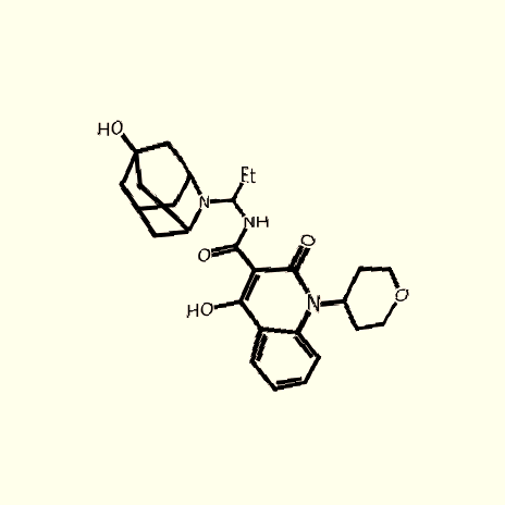 CCC(NC(=O)c1c(O)c2ccccc2n(C2CCOCC2)c1=O)N1C2CC3CC1CC(O)(C3)C2